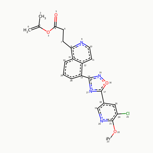 C=C(C)OC(=O)CCc1nccc2c(-c3noc(-c4cnc(OC(C)C)c(Cl)c4)n3)cccc12